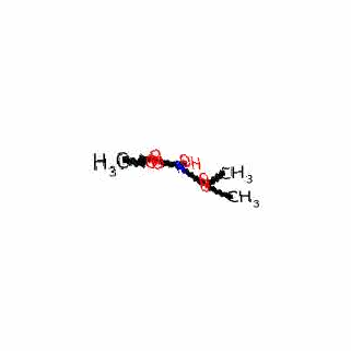 CCCCCCCCC(CCCCCCCC)OC(=O)CCCCCCCN(CCO)CCCCCCOC(=O)OCC1CC(CCCCC)C1